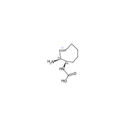 N[C@H]1/C=C/CCCC[C@H]1NC(=O)O